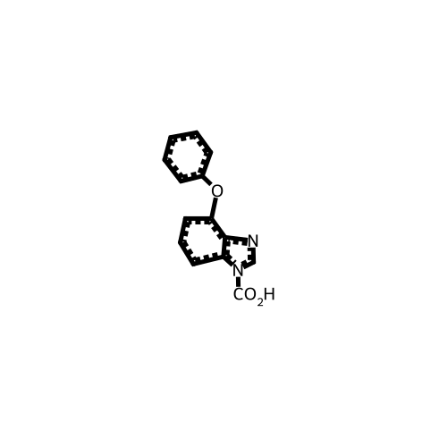 O=C(O)n1cnc2c(Oc3ccccc3)cccc21